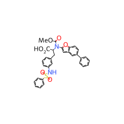 COC(=O)N(c1cc2cc(-c3ccccc3)ccc2o1)C(Cc1cccc(NS(=O)(=O)c2ccccc2)c1)C(=O)O